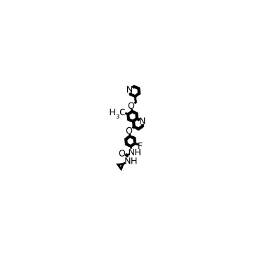 Cc1cc2c(Oc3ccc(NC(=O)NC4CC4)c(F)c3)ccnc2cc1OCc1cccnc1